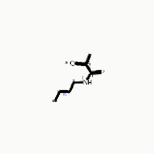 C=C(NC/C=C/C)C(C)=O